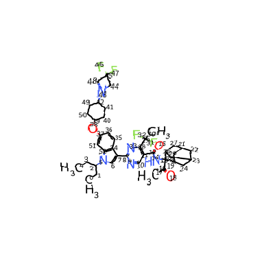 CCC(CC)n1cc(-c2ncc(C(=O)NC3(C(C)=O)C4CC5CC(C4)CC3C5)c(C(C)(F)F)n2)c2ccc(O[C@H]3CC[C@H](N4CC(F)(F)C4)CC3)cc21